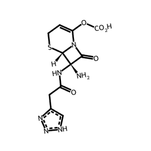 N[C@]1(NC(=O)Cc2c[nH]nn2)C(=O)N2C(OC(=O)O)=CCS[C@H]21